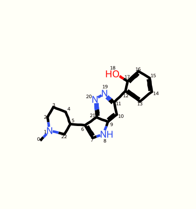 CN1CCCC(c2c[nH]c3cc(-c4ccccc4O)nnc23)C1